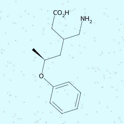 C[C@@H](CC(CN)CC(=O)O)Oc1ccccc1